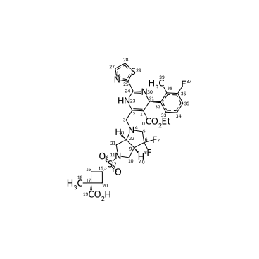 CCOC(=O)C1=C(CN2CC(F)(F)[C@@H]3CN(S(=O)(=O)[C@H]4C[C@](C)(C(=O)O)C4)C[C@@H]32)NC(c2nccs2)=N[C@H]1c1cccc(F)c1C